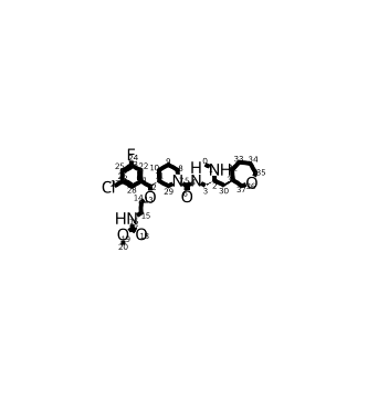 CN[C@@H](CNC(=O)N1CCC[C@@H](C(OCCNC(=O)OC)c2cc(F)cc(Cl)c2)C1)C[C@H]1CCCCOC1